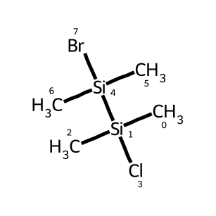 C[Si](C)(Cl)[Si](C)(C)Br